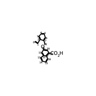 C=Cc1ccccc1COc1[c]c2[c]cccc2c(C(=O)O)c1